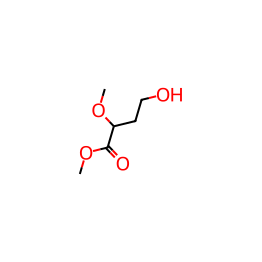 COC(=O)C(CCO)OC